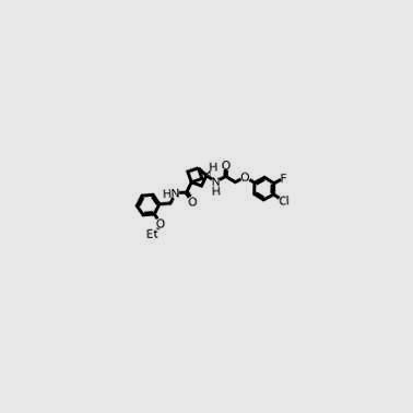 CCOc1ccccc1CNC(=O)C12CC(C1)[C@@H](NC(=O)COc1ccc(Cl)c(F)c1)C2